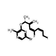 C=C(/C=C(F)\C=C/CI)[C@@H](C)Oc1nc(Br)cnc1N